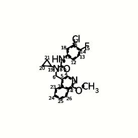 COc1ncc(CN(C(=O)Nc2ccc(F)c(Cl)c2)C2CC2)c2ccccc12